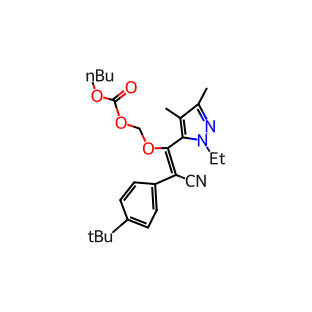 CCCCOC(=O)OCO/C(=C(/C#N)c1ccc(C(C)(C)C)cc1)c1c(C)c(C)nn1CC